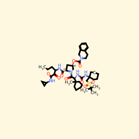 CCCC(NC(=O)[C@@H]1C[C@@H](OC(=O)N2CCc3ccccc3C2)CN1C(=O)[C@@H](NC(=O)NC1(CS(=O)(=O)C(C)(C)C)CCCCC1)C1(C)CCCCC1)C(=O)C(=O)NC1CC1